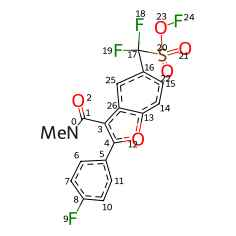 CNC(=O)c1c(-c2ccc(F)cc2)oc2ccc(C(F)(F)S(=O)(=O)OF)cc12